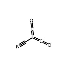 N#CI(=C=O)=C=O